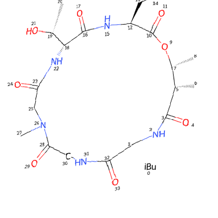 CC[C@H](C)C1NC(=O)[C@@H](C)[C@@H](C)OC(=O)[C@H](COC(C)=O)NC(=O)[C@@H]([C@@H](C)O)NC(=O)CN(C)C(=O)CNC1=O